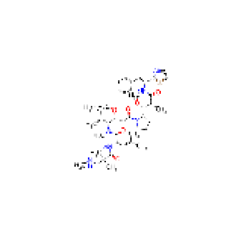 CC[C@H](C)[C@@H]([C@@H](CC(=O)N1CCC[C@H]1[C@H](OC)[C@@H](C)C(=O)N[C@@H](Cc1ccccc1)c1nccs1)OC)N(C)C(=O)[C@H](C=C(C)C)NC(=O)C(C)(C)CNC